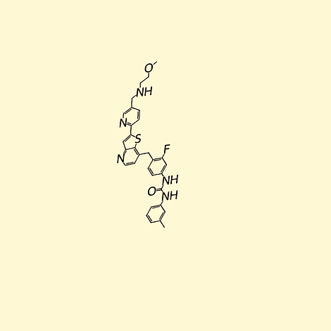 COCCNCc1ccc(-c2cc3nccc(Cc4ccc(NC(=O)Nc5cccc(C)c5)cc4F)c3s2)nc1